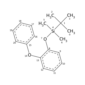 CC(C)(C)[Si](C)(C)Oc1ccccc1Oc1ccccc1